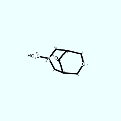 O=C1C2COCC1CN(C(=O)O)C2